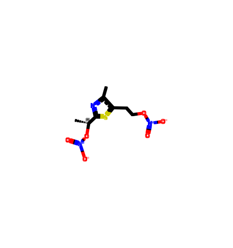 Cc1nc([C@@H](C)O[N+](=O)[O-])sc1CCO[N+](=O)[O-]